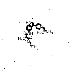 CCCOC(=O)C(C)C(=O)Nc1ccc2[nH]cc(C3CCN(CC(C)C)CC3)c2c1